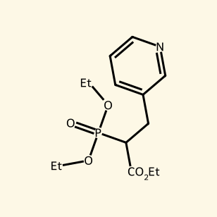 CCOC(=O)C(Cc1cccnc1)P(=O)(OCC)OCC